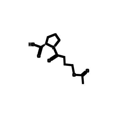 CC(=O)OCCCC(=O)N1CCC[C@H]1C(=O)O